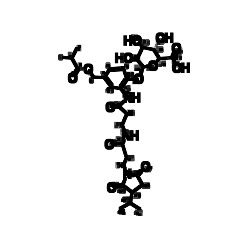 CC(C)C(=O)OCc1ccc(O[C@@H]2OC(C(=O)O)[C@@H](O)C(O)C2O)c(NC(=O)CCNC(=O)CCN2C(=O)C[C@@H](C(C)C)C2=O)c1